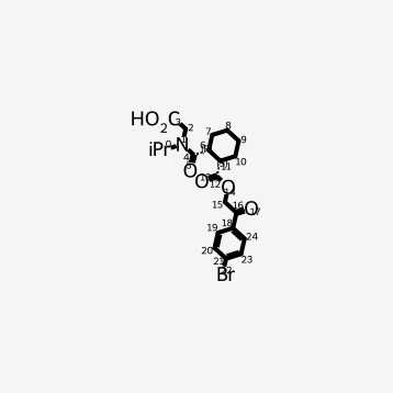 CC(C)N(CC(=O)O)C(=O)[C@@H]1CCCC[C@@H]1C(=O)OCC(=O)c1ccc(Br)cc1